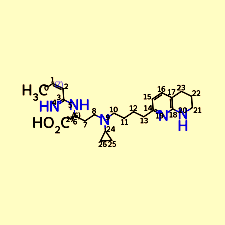 C/C=C\C(=N)N[C@@H](CCN(CCCCc1ccc2c(n1)NCCC2)C1CC1)C(=O)O